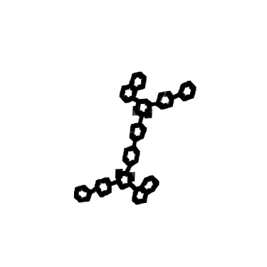 c1ccc(-c2ccc(-c3cc(-c4cccc5ccccc45)nc(-c4ccc(-c5ccc(-c6nc(-c7ccc(-c8ccccc8)cc7)cc(-c7cccc8ccccc78)n6)cc5)cc4)n3)cc2)cc1